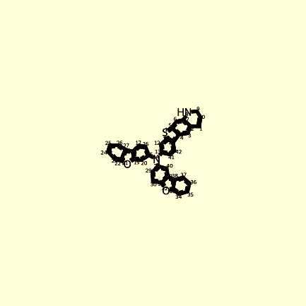 C1=Cc2cc3c(cc2NC1)sc1cc(N(c2ccc4c(c2)oc2ccccc24)c2ccc4oc5ccccc5c4c2)ccc13